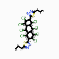 CCCc1nnc(-c2c(Cl)c(Cl)c3c(Cl)c4c(Cl)c(-c5nnc(CCC)s5)c(Cl)c(Cl)c4c(Cl)c3c2Cl)s1